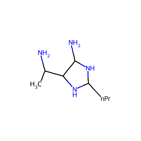 CCCC1NC(N)C(C(C)N)N1